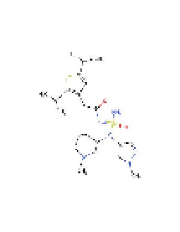 CC(C)c1cc(CC(=O)N=S(N)(=O)N(c2cnn(C)c2)C2CCCN(C)C2)c(C(C)C)s1